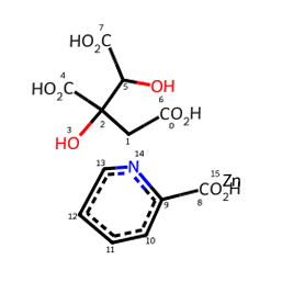 O=C(O)CC(O)(C(=O)O)C(O)C(=O)O.O=C(O)c1ccccn1.[Zn]